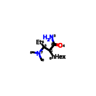 CCCCCCC(C(N)=O)C(CC)N(C)C